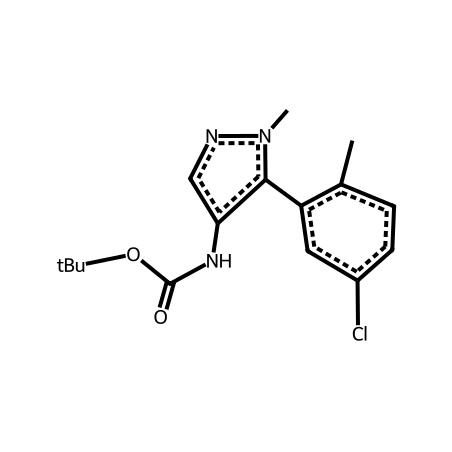 Cc1ccc(Cl)cc1-c1c(NC(=O)OC(C)(C)C)cnn1C